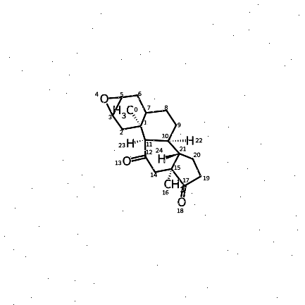 C[C@]12CC3OC3CC1CC[C@@H]1[C@H]2C(=O)C[C@]2(C)C(=O)CC[C@@H]12